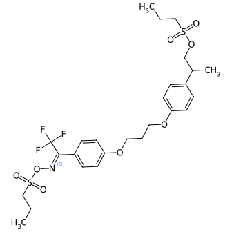 CCCS(=O)(=O)OCC(C)c1ccc(OCCCOc2ccc(/C(=N/OS(=O)(=O)CCC)C(F)(F)F)cc2)cc1